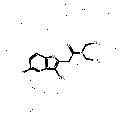 CCN(CC)C(=O)Cc1oc2ccc(F)cc2c1C